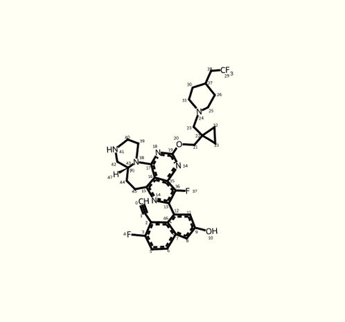 C#Cc1c(F)ccc2cc(O)cc(-c3nc4c5c(nc(OCC6(CN7CCC(CC(F)(F)F)CC7)CC6)nc5c3F)N3CCNC[C@H]3CC4)c12